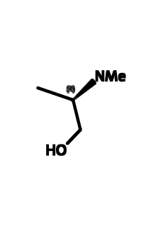 [CH2]N[C@H](C)CO